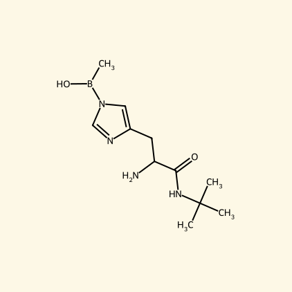 CB(O)n1cnc(CC(N)C(=O)NC(C)(C)C)c1